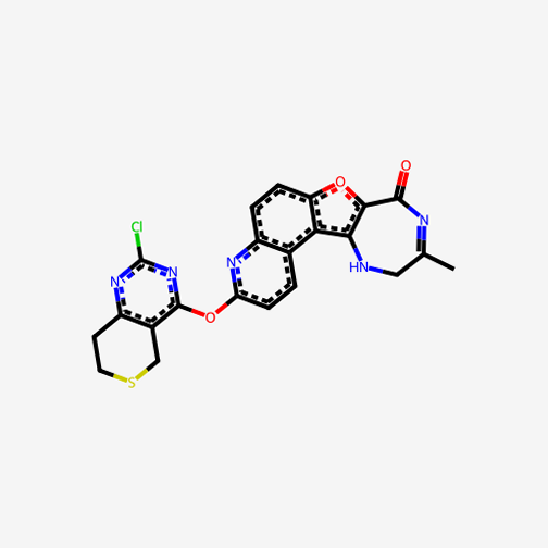 CC1=NC(=O)c2oc3ccc4nc(Oc5nc(Cl)nc6c5CSCC6)ccc4c3c2NC1